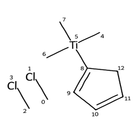 CCl.CCl.[CH3][Ti]([CH3])([CH3])[C]1=CC=CC1